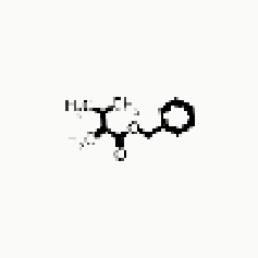 C=C(C(=O)OCc1ccccc1)C(C)C